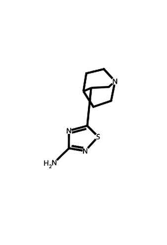 Nc1nsc(C2CN3CCC2CC3)n1